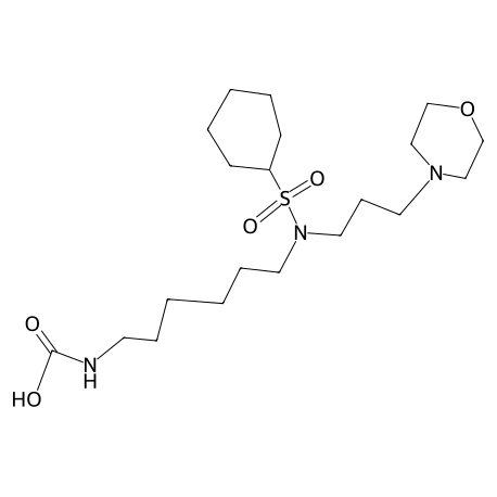 O=C(O)NCCCCCCN(CCCN1CCOCC1)S(=O)(=O)C1CCCCC1